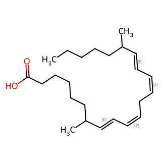 CCCCCC(C)/C=C/C=C\C/C=C\C=C\C(C)CCCCCC(=O)O